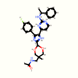 CC(=O)NCC1(C)COC(c2nc(-c3ccc(F)cc3)c(-c3ccnc(NC(C)c4ccccc4)n3)[nH]2)OC1